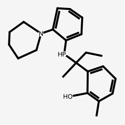 CCC(C)(Pc1ccccc1N1CCCCC1)c1cccc(C)c1O